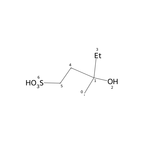 [CH2]C(O)(CC)CCS(=O)(=O)O